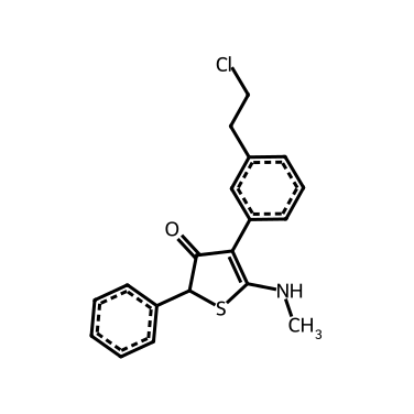 CNC1=C(c2cccc(CCCl)c2)C(=O)C(c2ccccc2)S1